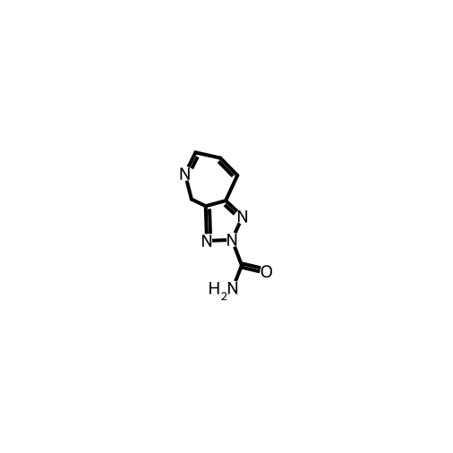 NC(=O)n1nc2c(n1)CN=CC=C2